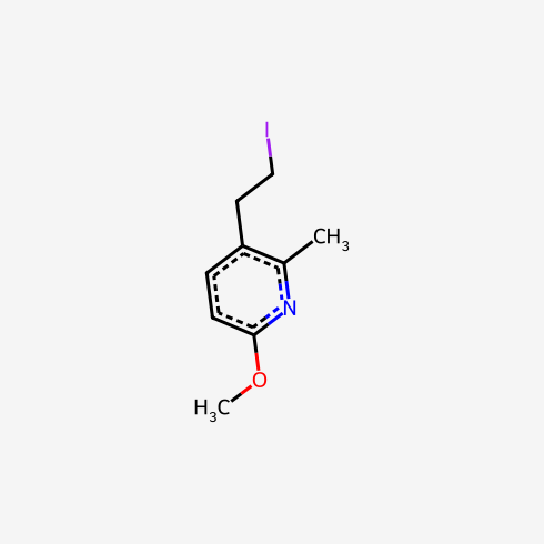 COc1ccc(CCI)c(C)n1